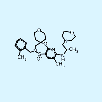 Cc1ccccc1CN1CC2(CCOCC2)Oc2nc(N[C@@H](C)CN3CCOCC3)c(C)cc2[S+]1[O-]